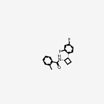 Cc1ccccc1C(=O)N[C@H]1CC[C@H]1c1ccc(F)cc1F